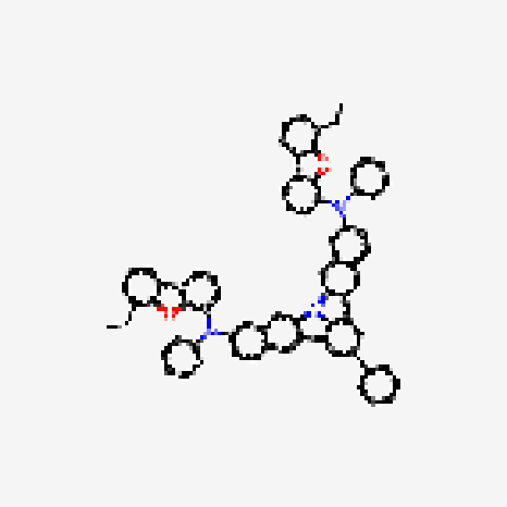 CCc1cccc2c1oc1c(N(c3ccccc3)c3ccc4cc5c6cc(-c7ccccc7)cc7c8cc9ccc(N(c%10ccccc%10)c%10cccc%11c%10oc%10c(CC)cccc%10%11)cc9cc8n(c5cc4c3)c67)cccc12